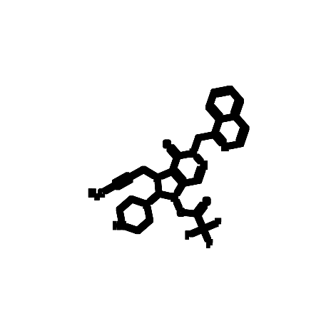 CC#CCN1c2c(cnn(Cc3nccc4ccccc34)c2=O)N(OC(=O)C(F)(F)F)C1N1CCNCC1